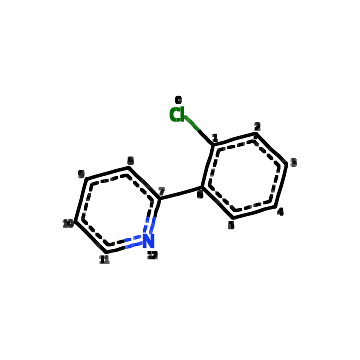 Clc1[c]cccc1-c1ccccn1